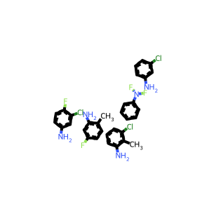 Cc1c(N)cccc1Cl.Cc1ccc(F)cc1N.FN(F)c1ccccc1.Nc1ccc(F)c(Cl)c1.Nc1cccc(Cl)c1